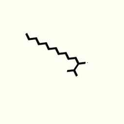 [CH2]C(CCCCCCCCCCC)C(C)C